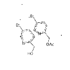 CCc1ccc(CO)nc1.CCc1ccc(COC(C)=O)nc1